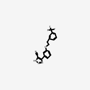 N#Cc1[nH]nnc1-c1cccc(OCCc2cccc(C(F)(F)F)c2)c1